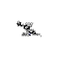 CO/N=C(\C(=O)NC1C(=O)N2C(C(=O)[O-])=C(SCC3CCOC3)CS[C@@H]12)c1csc(N)n1.[Na+]